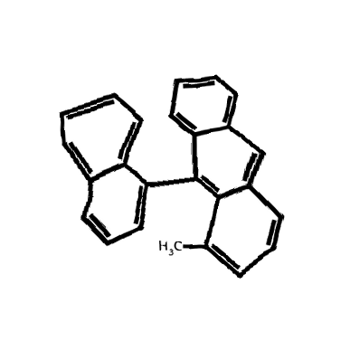 Cc1cccc2cc3ccccc3c(-c3cccc4ccccc34)c12